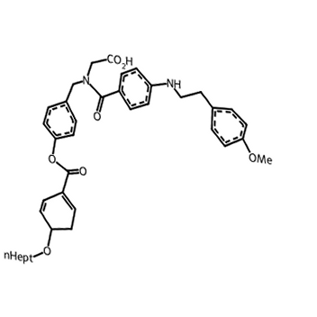 CCCCCCCOC1C=CC(C(=O)Oc2ccc(CN(CC(=O)O)C(=O)c3ccc(NCCc4ccc(OC)cc4)cc3)cc2)=CC1